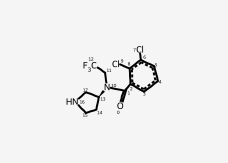 O=C(c1cccc(Cl)c1Cl)N(CC(F)(F)F)[C@H]1CCNC1